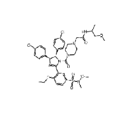 CCOc1ccc(S(=O)(=O)N(C)OC)cc1C1=N[C@@H](c2ccc(Cl)cc2)[C@@H](c2ccc(Cl)cc2)N1C(=O)N1CCN(CC(=O)NC(C)COC)CC1